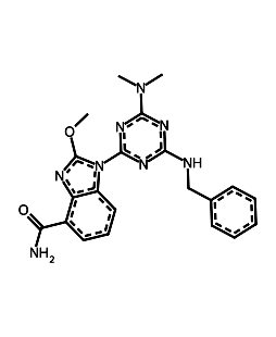 COc1nc2c(C(N)=O)cccc2n1-c1nc(NCc2ccccc2)nc(N(C)C)n1